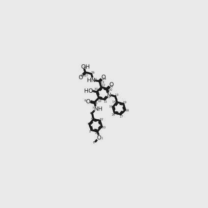 COc1ccc(CNC(=O)c2cn(Cc3ccccc3)c(=O)c(C(=O)NCC(=O)O)c2O)cc1